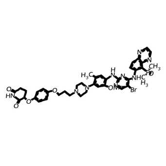 COc1cc(N2CCN(CCCOc3ccc(OC4CCC(=O)NC4=O)cc3)CC2)c(C)cc1Nc1ncc(Br)c(Nc2ccc3nccnc3c2P(C)(C)=O)n1